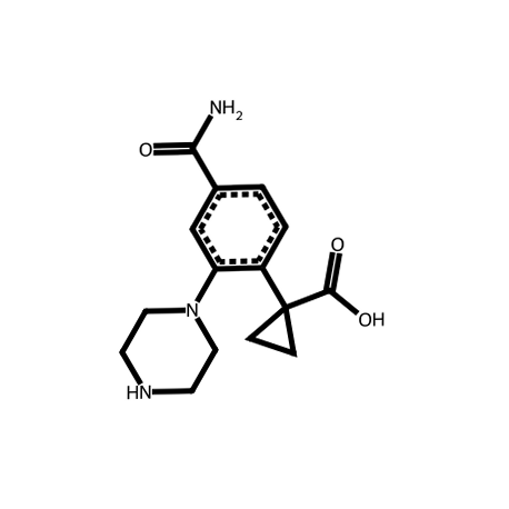 NC(=O)c1ccc(C2(C(=O)O)CC2)c(N2CCNCC2)c1